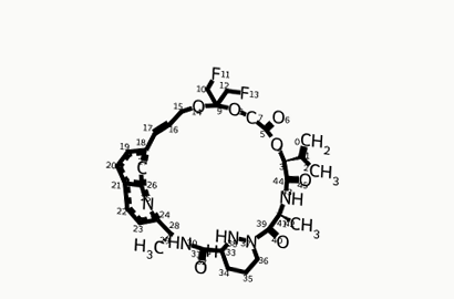 C=C(C)[C@@H]1OC(=O)COC(CF)(CF)OC/C=C/c2ccc3ccc(nc3c2)[C@@H](C)NC(=O)[C@@H]2CCCN(N2)C(=O)[C@H](C)NC1=O